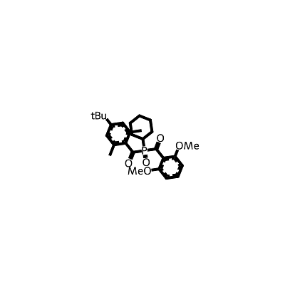 COc1cccc(OC)c1C(=O)P(=O)(C(=O)c1c(C)cc(C(C)(C)C)cc1C)C1CCCCC1